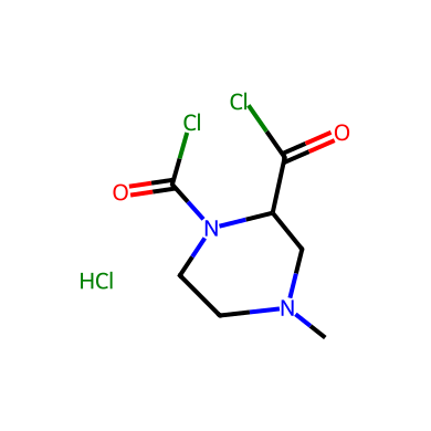 CN1CCN(C(=O)Cl)C(C(=O)Cl)C1.Cl